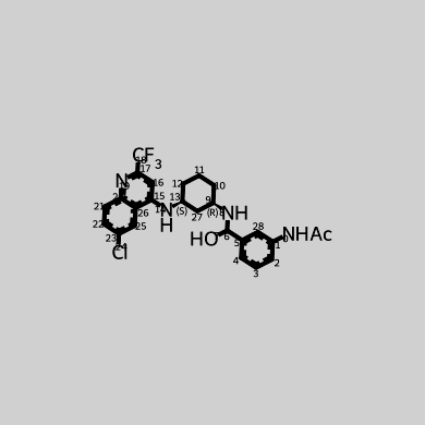 CC(=O)Nc1cccc(C(O)N[C@@H]2CCC[C@H](Nc3cc(C(F)(F)F)nc4ccc(Cl)cc34)C2)c1